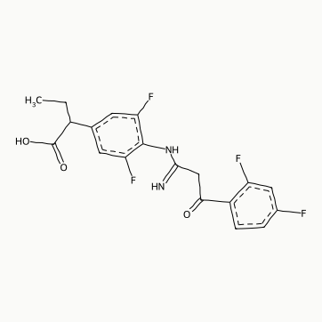 CCC(C(=O)O)c1cc(F)c(NC(=N)CC(=O)c2ccc(F)cc2F)c(F)c1